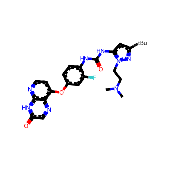 CN(C)CCn1nc(C(C)(C)C)cc1NC(=O)Nc1ccc(Oc2ccnc3[nH]c(=O)cnc23)cc1F